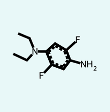 CCN(CC)c1cc(F)c(N)cc1F